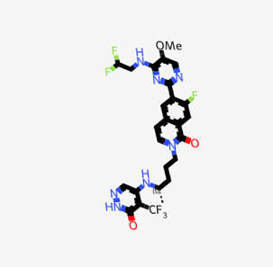 COc1cnc(-c2cc3ccn(CCC[C@H](C)Nc4cn[nH]c(=O)c4C(F)(F)F)c(=O)c3cc2F)nc1NCC(F)F